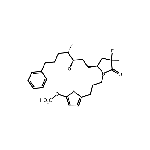 C[C@@H](CCCc1ccccc1)[C@H](O)CC[C@H]1CC(F)(F)C(=O)N1CCCc1ccc(OC(=O)O)s1